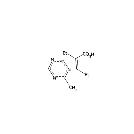 CCC=C(CC)C(=O)O.Cc1ncncn1